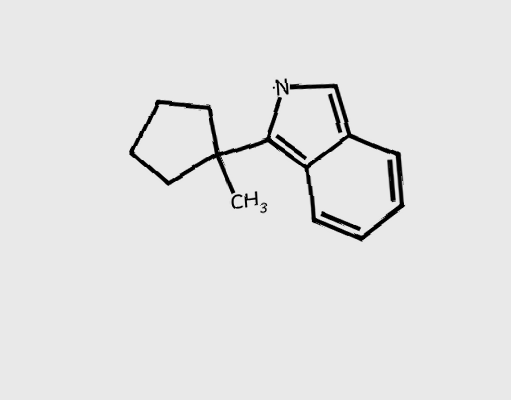 CC1(C2=c3ccccc3=C[N]2)CCCC1